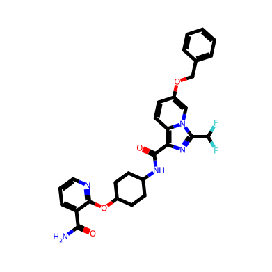 NC(=O)c1cccnc1OC1CCC(NC(=O)c2nc(C(F)F)n3cc(OCc4ccccc4)ccc23)CC1